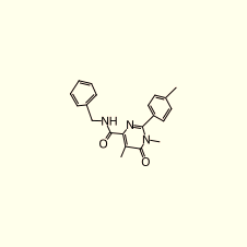 Cc1ccc(-c2nc(C(=O)NCc3ccccc3)c(C)c(=O)n2C)cc1